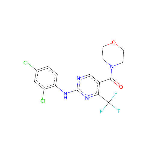 O=C(c1cnc(Nc2ccc(Cl)cc2Cl)nc1C(F)(F)F)N1CCOCC1